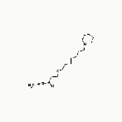 CC#CC(=O)CCOCCCCCCCN1CCCCC1